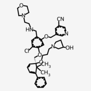 CC1(C)C(c2ccccc2)=CC=C[C@@]1(COc1cc(OCc2cncc(C#N)c2)c(CNCCN2CCOCC2)cc1Cl)OCCCN1CCC(O)C1